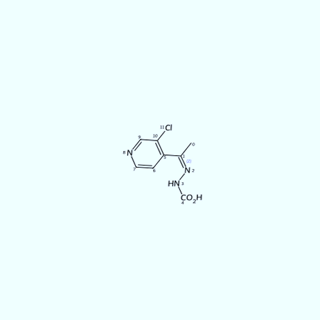 C/C(=N/NC(=O)O)c1ccncc1Cl